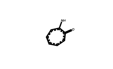 [NH]c1cccccc1=O